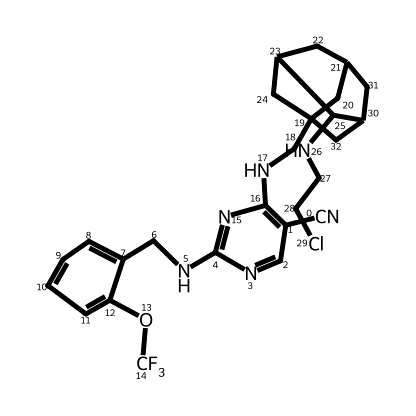 N#Cc1cnc(NCc2ccccc2OC(F)(F)F)nc1NCC12CC3CC(C1)C(NCCCl)C(C3)C2